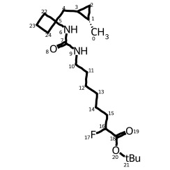 C[C@H]1CC1CC1(NC(=O)NCCCCCCC(F)C(=O)OC(C)(C)C)CCC1